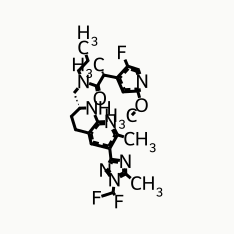 CCCN(C[C@H]1CCc2cc(-c3nc(C)n(C(F)F)n3)c(C)nc2N1)C(=O)[C@H](C)c1cc(OC)ncc1F